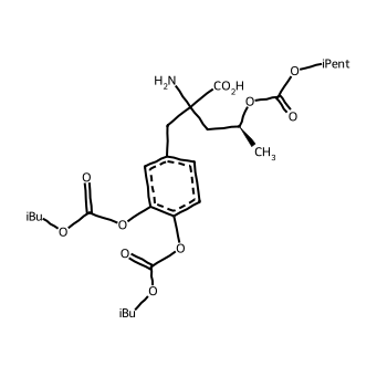 CCCC(C)OC(=O)O[C@@H](C)CC(N)(Cc1ccc(OC(=O)OC(C)CC)c(OC(=O)OC(C)CC)c1)C(=O)O